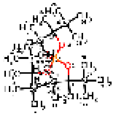 CC(OP(=O)(OC(C)([Si](C)(C)C)[Si](C)(C)C)OC(C)([Si](C)(C)C)[Si](C)(C)C)([Si](C)(C)C)[Si](C)(C)C